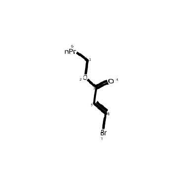 CCCCOC(=O)C=CBr